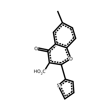 Cc1ccc2oc(-c3cccs3)c(C(=O)O)c(=O)c2c1